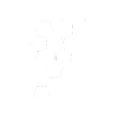 C[C@@H](O)CNN1C=NC2=NN(C3CCCC3)CC2=C1C1C(=O)Nc2ccc(Br)cc21